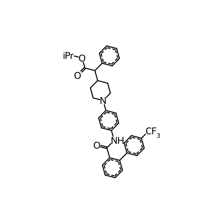 CC(C)OC(=O)C(c1ccccc1)C1CCN(c2ccc(NC(=O)c3ccccc3-c3ccc(C(F)(F)F)cc3)cc2)CC1